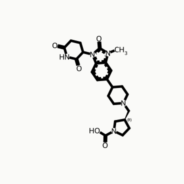 Cn1c(=O)n(C2CCC(=O)NC2=O)c2ccc(C3CCN(C[C@H]4CCN(C(=O)O)C4)CC3)cc21